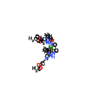 [2H]C([2H])([2H])n1c(C(=O)Nc2cccc(-c3cccc(NC(=O)c4nc5c(n4C([2H])([2H])[2H])CCN(C(=O)OC(C)(C)C)C5)c3Cl)c2Cl)nc2c1CCN(CCC13CCC(C(=O)OC)(CC1)C3)C2